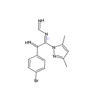 Cc1cc(C)n(/C(=N/C=N)C(=N)c2ccc(Br)cc2)n1